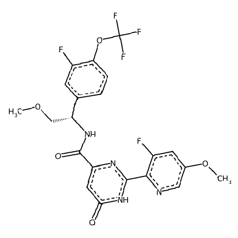 COC[C@@H](NC(=O)c1cc(=O)[nH]c(-c2ncc(OC)cc2F)n1)c1ccc(OC(F)(F)F)c(F)c1